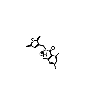 C=c1cc(C[PH](=O)C(=O)c2c(C)cc(C)cc2C)c(=C)s1